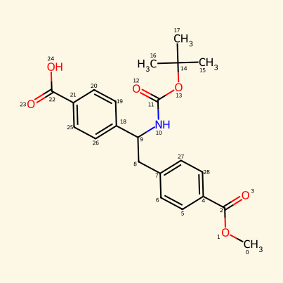 COC(=O)c1ccc(CC(NC(=O)OC(C)(C)C)c2ccc(C(=O)O)cc2)cc1